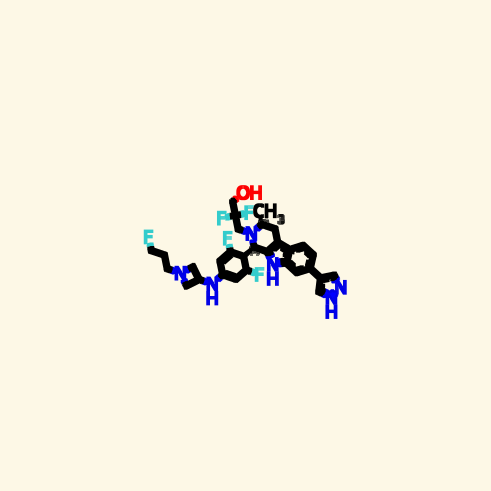 C[C@@H]1Cc2c([nH]c3cc(-c4cn[nH]c4)ccc23)[C@@H](C2C(F)=CC(NC3CN(CCCF)C3)=CC2F)N1CC(F)(F)CO